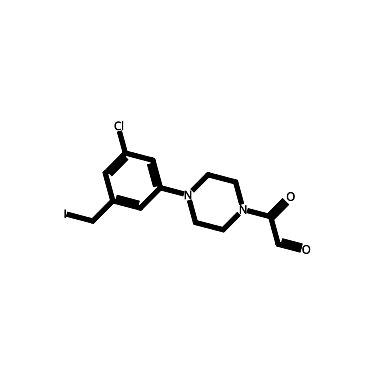 O=CC(=O)N1CCN(c2cc(Cl)cc(CI)c2)CC1